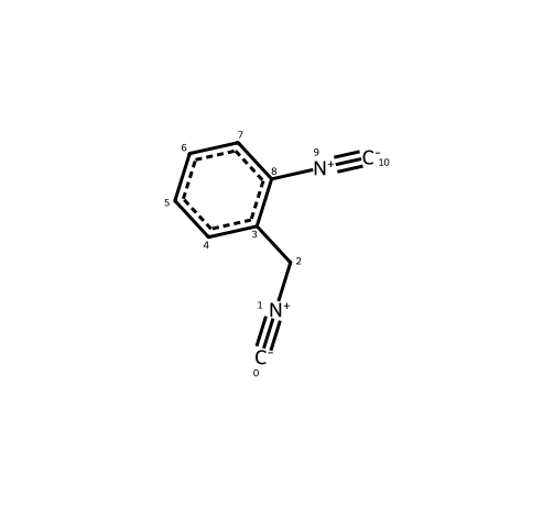 [C-]#[N+]Cc1ccccc1[N+]#[C-]